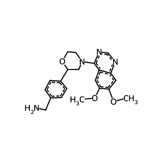 COc1cc2ncnc(N3CCOC(c4ccc(CN)cc4)C3)c2cc1OC